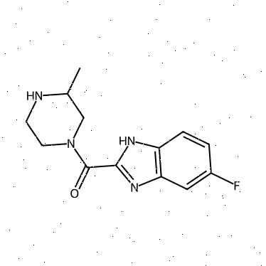 CC1CN(C(=O)c2nc3cc(F)ccc3[nH]2)CCN1